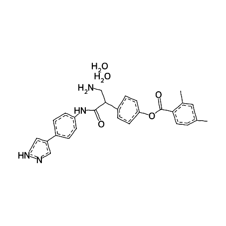 Cc1ccc(C(=O)Oc2ccc(C(CN)C(=O)Nc3ccc(-c4cn[nH]c4)cc3)cc2)c(C)c1.O.O